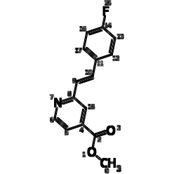 COC(=O)c1ccnc(C=Cc2ccc(F)cc2)c1